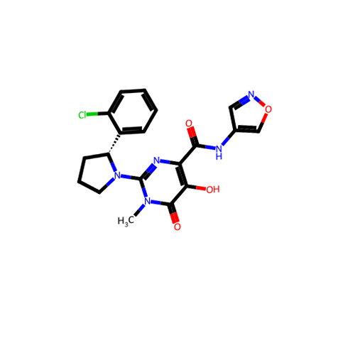 Cn1c(N2CCC[C@@H]2c2ccccc2Cl)nc(C(=O)Nc2cnoc2)c(O)c1=O